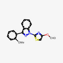 COc1ccccc1-c1nn(-c2nc(OC=O)cs2)c2ccccc12